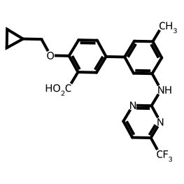 Cc1cc(Nc2nccc(C(F)(F)F)n2)cc(-c2ccc(OCC3CC3)c(C(=O)O)c2)c1